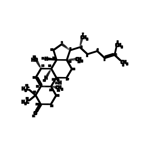 CC(C)=CCC[C@@H](C)[C@H]1CC[C@H]2[C@@H]3[C@@H](O)C=C4C(C)(C)C(=O)CC[C@]4(C)[C@H]3CC[C@]12C